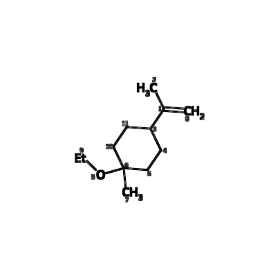 C=C(C)C1CCC(C)(OCC)CC1